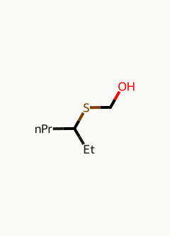 CCCC(CC)SCO